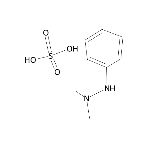 CN(C)Nc1ccccc1.O=S(=O)(O)O